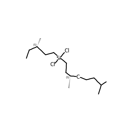 CC[C@H](C)CC[Si](Cl)(Cl)CC[C@@H](C)CCCC(C)C